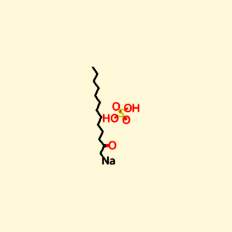 CCCCCCCCCCCC(=O)[CH2][Na].O=S(=O)(O)O